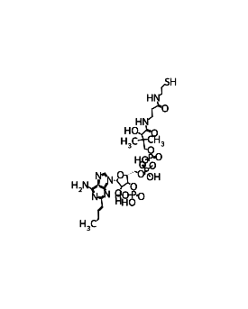 CCC=Cc1nc(N)c2ncn([C@@H]3O[C@H](COP(=O)(O)OP(=O)(O)OCC(C)(C)[C@@H](O)C(=O)NCCC(=O)NCCS)[C@@H](OP(=O)(O)O)[C@H]3O)c2n1